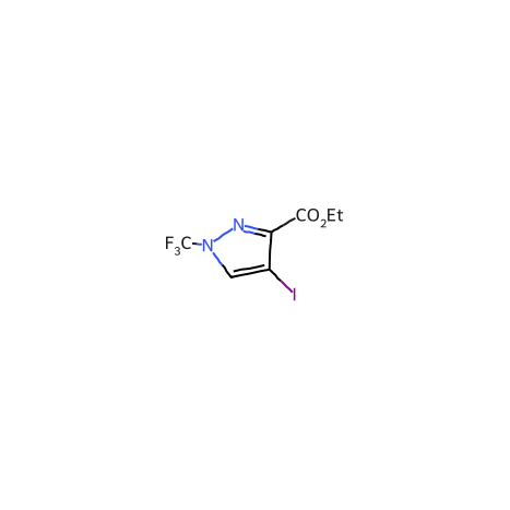 CCOC(=O)c1nn(C(F)(F)F)cc1I